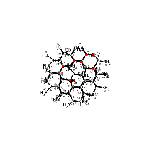 BB(B)B(B(B)B)B(B(B)B)B(B(B(B(B)B)B(B)B)B(B(B)B)B(B)B)B(B(B(B(B(B)B)B(B)B)B(B(B)B)B(B)B)B(B(B(B)B)B(B)B)B(B(B)B)B(B)B)B(B(B(B(B)B)B(B)B)B(B(B)B)B(B)B)B(B(B(B)B)B(B)B)B(B(B)B)B(B)B